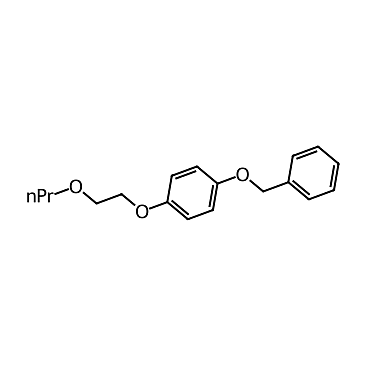 CCCOCCOc1ccc(OCc2ccccc2)cc1